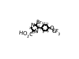 O=C(O)c1cnc(Br)c(-c2ccc(OC(F)(F)F)cc2)n1